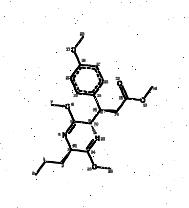 CCC[C@H]1N=C(OC)[C@H]([C@H](CC(=O)OC)c2ccc(OC)cc2)N=C1OC